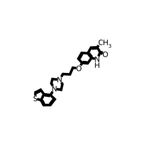 Cc1cc2ccc(OCCCN3CCN(c4cccc5sccc45)CC3)cc2[nH]c1=O